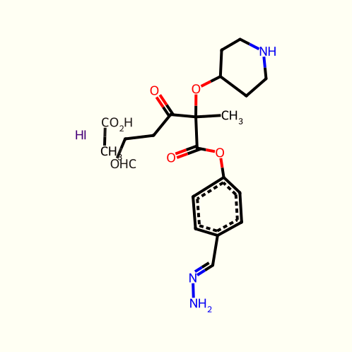 CC(=O)O.CC(OC1CCNCC1)(C(=O)CCC=O)C(=O)Oc1ccc(C=NN)cc1.I